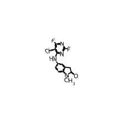 CN1C(=O)Cc2cc(Nc3nc(F)nc(F)c3Cl)ccc21